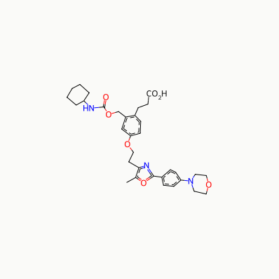 Cc1oc(-c2ccc(N3CCOCC3)cc2)nc1CCOc1ccc(CCC(=O)O)c(COC(=O)NC2CCCCC2)c1